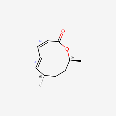 C[C@@H]1/C=C/C=C\C(=O)O[C@@H](C)CC1